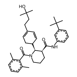 Cc1cccc(C)c1C(=O)N1CCC[C@H](C(=O)Nc2cccc(C(C)(C)C)c2)[C@@H]1C1C=CC(CCC(C)(C)O)=CC1